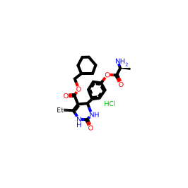 CCC1=C(C(=O)OCC2CCCCC2)C(c2ccc(OC(=O)[C@H](C)N)cc2)NC(=O)N1.Cl